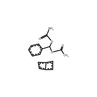 CC(=O)OC(OC(N)=O)c1ccccc1.c1cc2ccc1-2